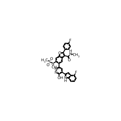 CNC(=O)c1c(-c2ccc(F)cc2)oc2cc(N(C)S(C)(=O)=O)c(-c3cc(-c4cc5c(F)cccc5[nH]4)c(O)nn3)cc12